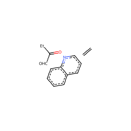 C=C.CCC(=O)C=O.c1ccc2ncccc2c1